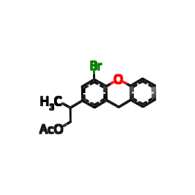 CC(=O)OCC(C)c1cc(Br)c2c(c1)Cc1ccccc1O2